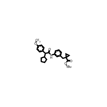 CC(C)(C)OC(=O)C1(Cc2cccc(NC(=O)C(c3ccc(OC(F)(F)F)cc3)C3CCCC3)c2)CC1